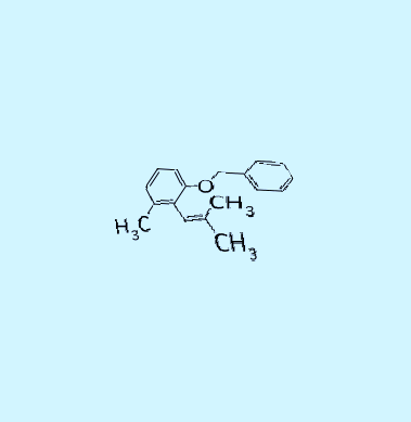 CC(C)=Cc1c(C)cccc1OCc1ccccc1